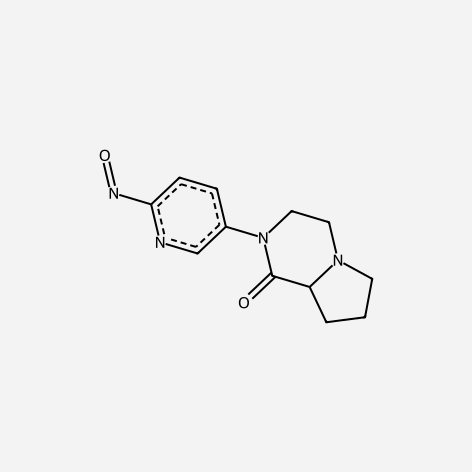 O=Nc1ccc(N2CCN3CCCC3C2=O)cn1